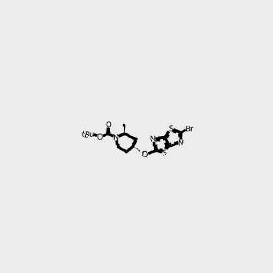 C[C@H]1C[C@H](Oc2nc3sc(Br)nc3s2)CCN1C(=O)OC(C)(C)C